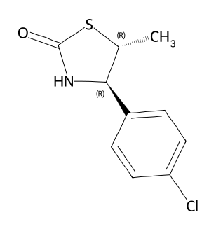 C[C@H]1SC(=O)N[C@@H]1c1ccc(Cl)cc1